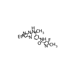 CCn1cc2ncc(N[C@@H](C)c3cccc(NC(=O)c4cnc(C)c(F)c4)c3)nc2n1